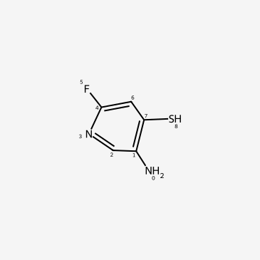 Nc1cnc(F)cc1S